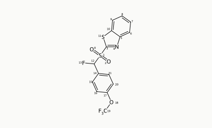 O=S(=O)(c1nc2ccccc2s1)C(F)c1ccc(OC(F)(F)F)cc1